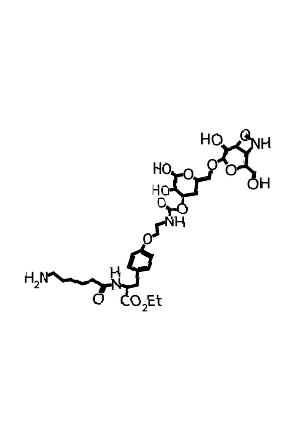 CCOC(=O)[C@H](Cc1ccc(OCCNC(=O)O[C@@H]2CC(COC3OC(CO)C4NOC4C3O)OC(O)C2O)cc1)NC(=O)CCCCCN